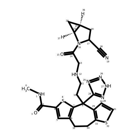 CNC(=O)c1cc2c(s1)C(CCNCC(=O)N1C(C#N)C[C@@H]3C[C@@H]31)(c1nn[nH]n1)c1ccsc1CC2